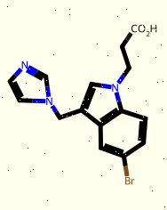 O=C(O)CCn1cc(Cn2ccnc2)c2cc(Br)ccc21